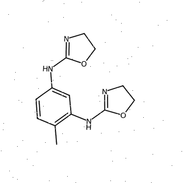 Cc1ccc(NC2=NCCO2)cc1NC1=NCCO1